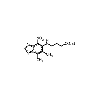 CCOC(=O)CCCNc1c(C)c(C)n2nnnc2c1[N+](=O)[O-]